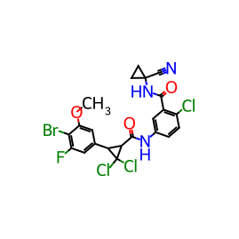 COc1cc(C2C(C(=O)Nc3ccc(Cl)c(C(=O)NC4(C#N)CC4)c3)C2(Cl)Cl)cc(F)c1Br